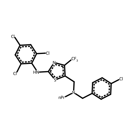 CCCN(Cc1ccc(Cl)cc1)Cc1sc(Nc2c(Cl)cc(Cl)cc2Cl)nc1C(F)(F)F